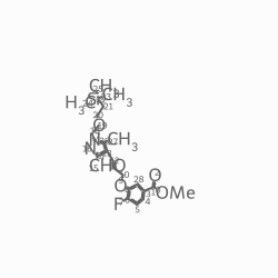 COC(=O)c1ccc(F)c(OCCCc2c(C=O)nn(COCC[Si](C)(C)C)c2C)c1